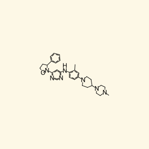 Cc1cc(N2CCC(N3CCN(C)CC3)CC2)ccc1Nc1cc(N2OCCC2c2ccccc2)ncn1